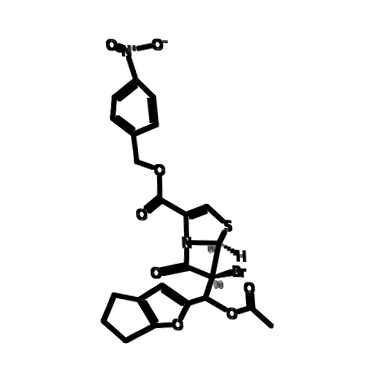 CC(=O)OC(c1cc2c(o1)CCC2)[C@]1(Br)C(=O)N2C(C(=O)OCc3ccc([N+](=O)[O-])cc3)=CS[C@H]21